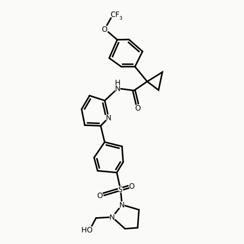 O=C(Nc1cccc(-c2ccc(S(=O)(=O)N3CCCN3CO)cc2)n1)C1(c2ccc(OC(F)(F)F)cc2)CC1